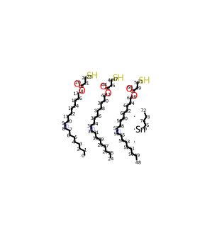 CCCCCCCC/C=C\CCCCCCCCOC(=O)CCS.CCCCCCCC/C=C\CCCCCCCCOC(=O)CCS.CCCCCCCC/C=C\CCCCCCCCOC(=O)CCS.CCC[CH2][Sn]